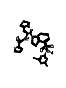 Cc1cc(C)nc(NS(=O)(=O)c2cccc3c2CCN3C(=O)/C(=C\c2cccs2)NC(=O)c2cccs2)n1